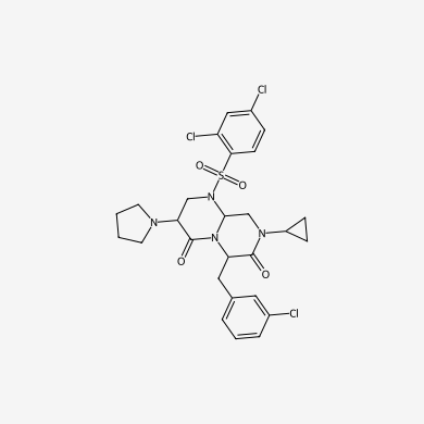 O=C1C(Cc2cccc(Cl)c2)N2C(=O)C(N3CCCC3)CN(S(=O)(=O)c3ccc(Cl)cc3Cl)C2CN1C1CC1